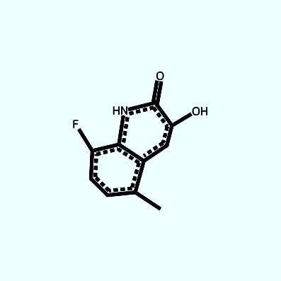 Cc1ccc(F)c2[nH]c(=O)c(O)cc12